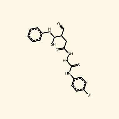 O=CC(CC(=O)NNC(=S)Nc1ccc(Br)cc1)C(S)Nc1ccccc1